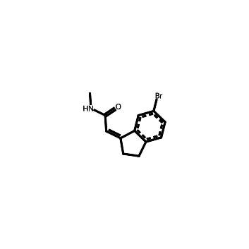 CNC(=O)/C=C1/CCc2ccc(Br)cc21